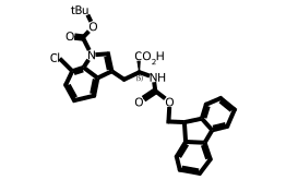 CC(C)(C)OC(=O)n1cc(C[C@H](NC(=O)OCC2c3ccccc3-c3ccccc32)C(=O)O)c2cccc(Cl)c21